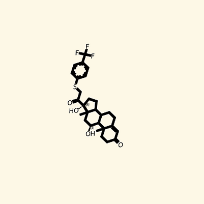 CC12CCC(=O)C=C1CCC1C2[C@@H](O)CC2(C)C1CC[C@]2(O)C(=O)CSc1ccc(C(F)(F)F)cc1